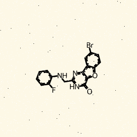 O=c1[nH]c(CNc2ccccc2F)nc2c1oc1ccc(Br)cc12